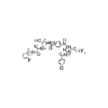 O=C(NCC[C@H](NC(=O)c1ccc(Nc2nc(NC3(c4ccc(Cl)cc4)CC3)nc(OCC(F)(F)F)n2)cc1)C(=O)O)C(=O)NCc1c(F)cccc1F